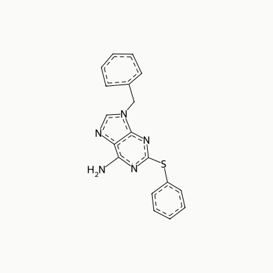 Nc1nc(Sc2ccccc2)nc2c1ncn2Cc1ccccc1